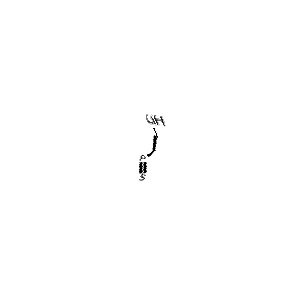 S=PI.[LiH]